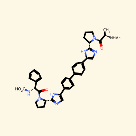 CC(=O)N[C@H](C)C(=O)N1CCC[C@H]1c1ncc(-c2ccc(-c3ccc(-c4cnc([C@@H]5CCCN5C(=O)[C@H](NC(=O)O)c5ccccc5)[nH]4)cc3)cc2)[nH]1